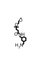 COCCOC(C)(C)CCC(=O)NCC1CCCC(CN)C1